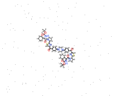 CC(C)(C)OC(=O)N[C@H](C(=O)N1CCCC1c1nc(C(=O)c2ccc(N3CCN(c4ccc(C(=O)c5csc([C@@H]6CCCN6C(=O)[C@@H](NC(=O)OC(C)(C)C)C6CCCCC6)n5)cc4)CC3)cc2)cs1)C1CCCCC1